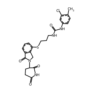 Cc1ccc(NC(=O)NCCCSc2cccc3c2CN(C2CCC(=O)NC2=O)C3=O)cc1Cl